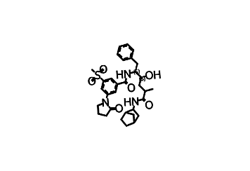 CC(C[C@H](O)[C@H](Cc1ccccc1)NC(=O)c1cc(N2CCCC2=O)cc(S(C)(=O)=O)c1)C(=O)NC1CC2CCC1C2